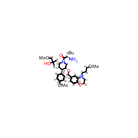 CC[C@H](C)[C@H](N)C(=O)N1C[C@H](OCc2ccc3c(c2)N(CCCOC)CCO3)[C@@H](c2ccc(OC)cc2)C[C@@H]1CC(C)(O)COC